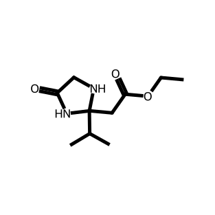 CCOC(=O)CC1(C(C)C)NCC(=O)N1